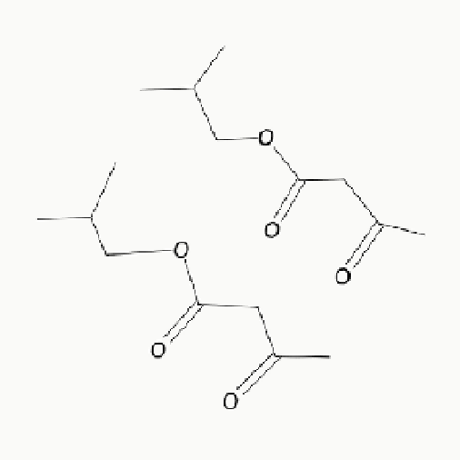 CC(=O)CC(=O)OCC(C)C.CC(=O)CC(=O)OCC(C)C